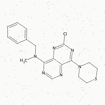 CN(Cc1ccccc1)c1ncnc2c(N3CCSCC3)nc(Cl)nc12